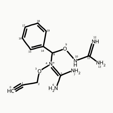 C#CCO[N+](=C(N)N)C(ONC(=N)N)c1ccccc1